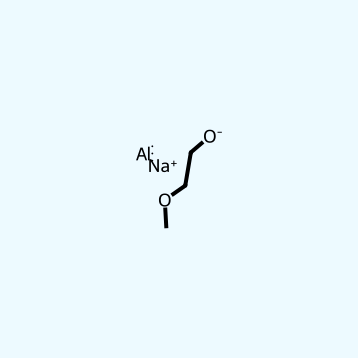 COCC[O-].[Al].[Na+]